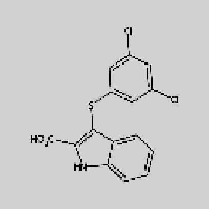 O=C(O)c1[nH]c2ccccc2c1Sc1cc(Cl)cc(Cl)c1